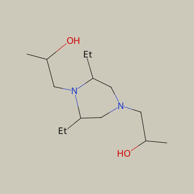 CCC1CN(CC(C)O)CC(CC)N1CC(C)O